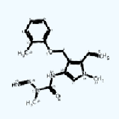 C=Cc1c(COc2ccccc2C)c(NC(=O)N(C)N=N)cn1C